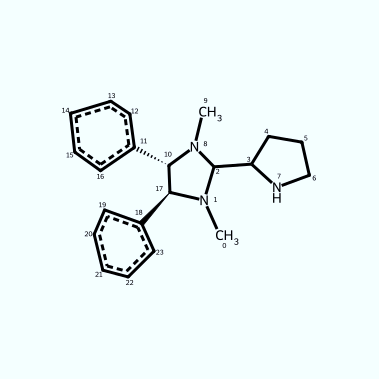 CN1C(C2CCCN2)N(C)[C@@H](c2ccccc2)[C@@H]1c1ccccc1